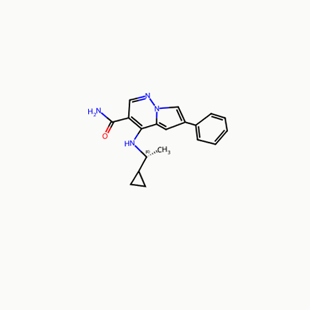 C[C@@H](Nc1c(C(N)=O)cnn2cc(-c3ccccc3)cc12)C1CC1